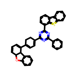 C1=CC2Oc3ccccc3C2C(C2=CC=C(c3nc(-c4ccccc4)nc(-c4cccc5c4sc4ccccc45)n3)CC2)=C1